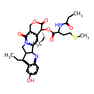 CCC(=O)NC(CCSC)C(=O)O[C@]1(CC)C(=O)OCc2c1cc1n(c2=O)CC2C(CC)=c3cc(O)ccc3=NC12